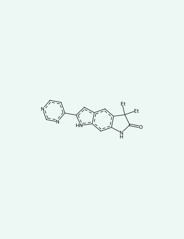 CCC1(CC)C(=O)Nc2cc3[nH]c(-c4ccncn4)cc3cc21